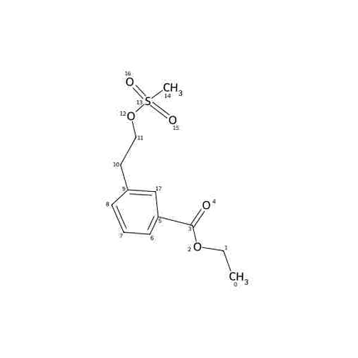 CCOC(=O)c1cccc(CCOS(C)(=O)=O)c1